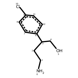 NCCC(CO)c1ccc(Cl)cc1